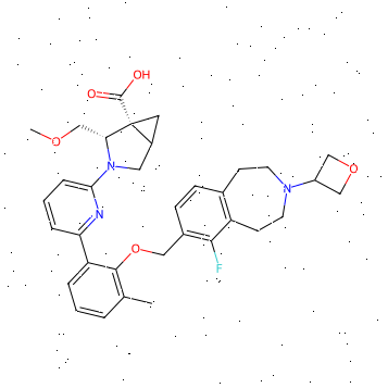 COC[C@H]1N(c2cccc(-c3cccc(C)c3OCc3ccc4c(c3F)CCN(C3COC3)CC4)n2)CC2C[C@@]21C(=O)O